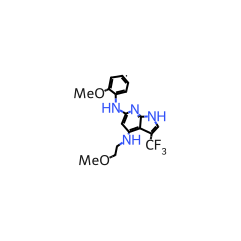 COCCNc1cc(Nc2cc[c]cc2OC)nc2[nH]cc(C(F)(F)F)c12